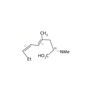 CC/C=C\C=C(/C)C[C@H](NC)C(=O)O